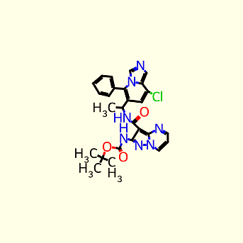 CC(NC(=O)c1c(NC(=O)OC(C)(C)C)nn2cccnc12)c1cc(Cl)c2cncn2c1-c1ccccc1